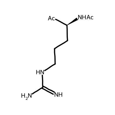 CC(=O)N[C@@H](CCCNC(=N)N)C(C)=O